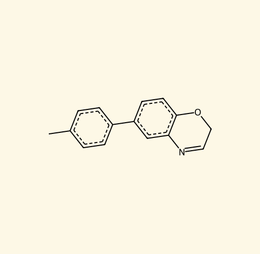 Cc1ccc(-c2ccc3c(c2)N=CCO3)cc1